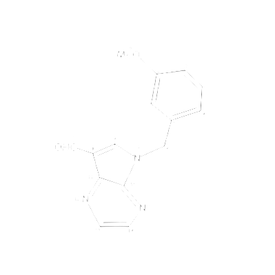 COc1cccc(Cn2cc(C=O)c3nccnc32)c1